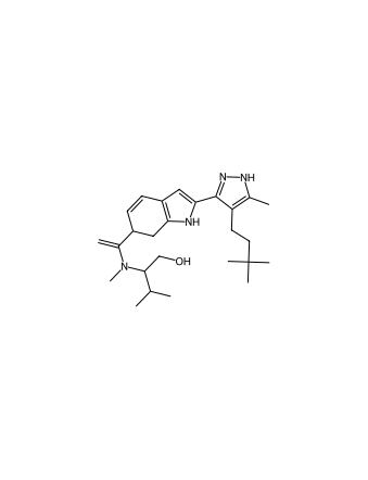 C=C(C1C=Cc2cc(-c3n[nH]c(C)c3CCC(C)(C)C)[nH]c2C1)N(C)C(CO)C(C)C